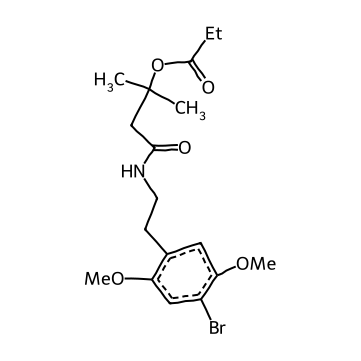 CCC(=O)OC(C)(C)CC(=O)NCCc1cc(OC)c(Br)cc1OC